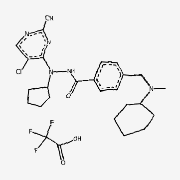 CN(Cc1ccc(C(=O)NN(c2nc(C#N)ncc2Cl)C2CCCC2)cc1)C1CCCCC1.O=C(O)C(F)(F)F